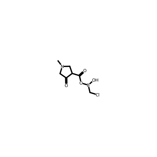 CN1CC(=O)C(C(=O)OB(O)CCl)C1